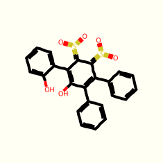 O=S(=O)=C1C(c2ccccc2)=C(c2ccccc2)C(O)=C(c2ccccc2O)C1=S(=O)=O